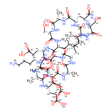 CC(C)C[C@H](NC(=O)[C@H](CO)NC(=O)[C@H](C)NC(=O)[C@H](CCC(N)=O)NC(=O)[C@@H](NC(=O)[C@@H](N)CO)C(C)C)C(=O)N[C@@H](CCC(=O)O)C(=O)N[C@@H](C)C(=O)N[C@@H](CCC(=O)O)C(=O)N[C@@H](C)C(=O)N[C@@H](CCCCN)C(=O)NCC(=O)N[C@@H](CCCCN)C(=O)N[C@@H](C)C(=O)N[C@@H](CCC(=O)O)C(=O)O